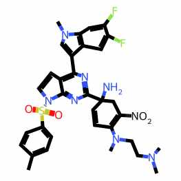 Cc1ccc(S(=O)(=O)n2ccc3c(-c4cn(C)c5cc(F)c(F)cc45)nc(C4(N)C=CC(N(C)CCN(C)C)=C([N+](=O)[O-])C4)nc32)cc1